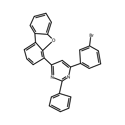 Brc1cccc(-c2cc(-c3cccc4c3oc3ccccc34)nc(-c3ccccc3)n2)c1